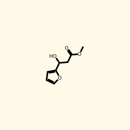 COC(=O)CC(O)c1ccco1